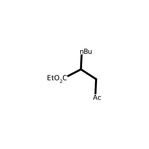 CCCCC(CC(C)=O)C(=O)OCC